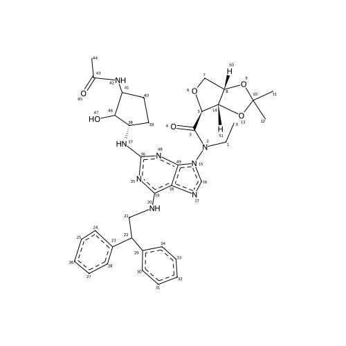 CCN(C(=O)[C@H]1OC[C@@H]2OC(C)(C)O[C@@H]21)n1cnc2c(NCC(c3ccccc3)c3ccccc3)nc(N[C@H]3CCC(NC(C)=O)C3O)nc21